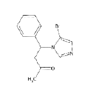 CC(=O)CC(c1ccccc1)n1cncc1Br